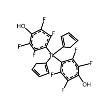 Oc1c(F)c(F)[c]([Ti]([C]2=CC=CC2)([C]2=CC=CC2)[c]2c(F)c(F)c(O)c(F)c2F)c(F)c1F